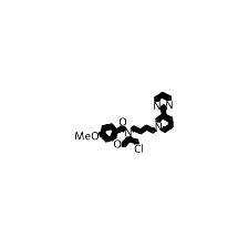 COc1ccc2c(c1)OC=C(CCl)N(CCCCN1CCC=C(c3ncccn3)C1)C2=O